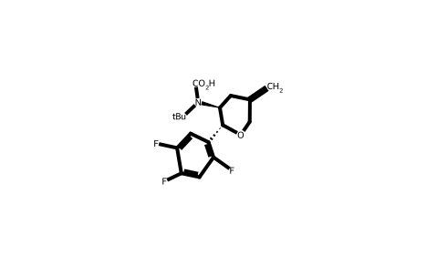 C=C1CO[C@H](c2cc(F)c(F)cc2F)[C@@H](N(C(=O)O)C(C)(C)C)C1